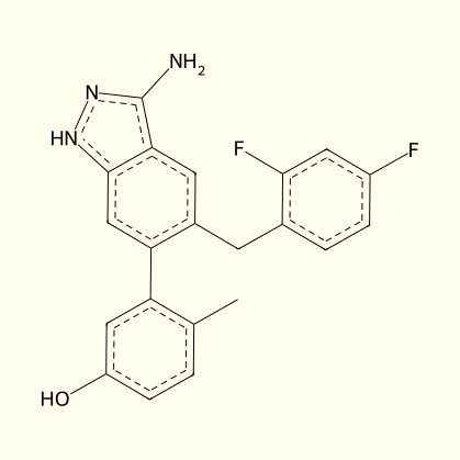 Cc1ccc(O)cc1-c1cc2[nH]nc(N)c2cc1Cc1ccc(F)cc1F